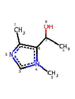 Cc1ncn(C)c1C(C)O